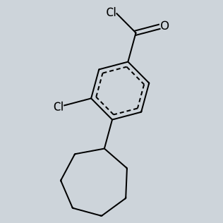 O=C(Cl)c1ccc(C2CCCCCC2)c(Cl)c1